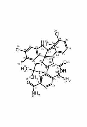 CC(C)(C)C[C@@H]1N(c2cc(C(N)=O)ccc2C(N)=O)[C@@H](C(=O)O)[C@H](c2cccc(Cl)c2F)C12C(=O)Nc1cc(Cl)c(F)cc12